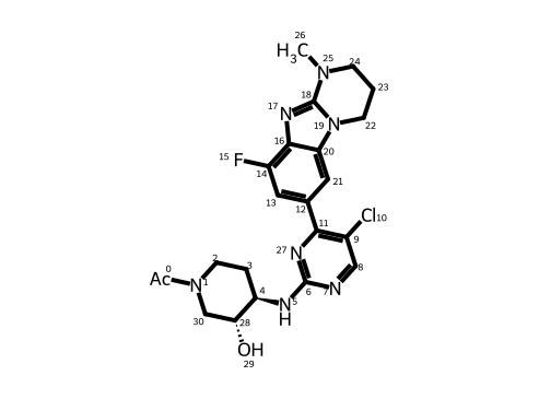 CC(=O)N1CC[C@@H](Nc2ncc(Cl)c(-c3cc(F)c4nc5n(c4c3)CCCN5C)n2)[C@H](O)C1